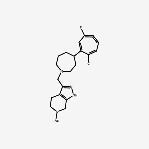 CC(=O)N1CCc2c(CN3CCCC(C4=CC(F)=C=CC=C4Cl)CC3)n[nH]c2C1